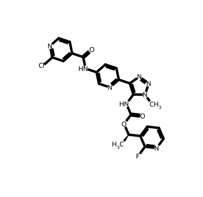 C[C@@H](OC(=O)Nc1c(-c2ccc(NC(=O)c3ccnc(Cl)c3)cn2)nnn1C)c1cccnc1F